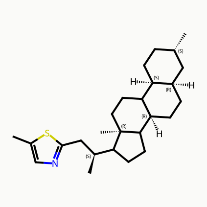 Cc1cnc(C[C@H](C)C2CCC3[C@@H]4CC[C@@H]5C[C@@H](C)CC[C@@H]5C4CC[C@@]32C)s1